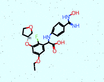 CCOc1cc(O[C@@H]2CCOC2)c(F)c(C(Nc2ccc(C(=N)NO)cc2)C(=O)O)c1